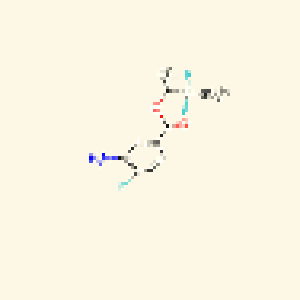 Nc1cc(C(=O)OC(C(F)(F)F)C(F)(F)S(=O)(=O)O)ccc1F